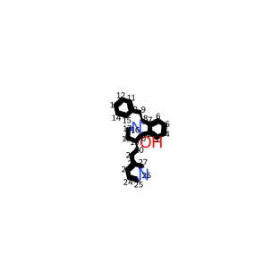 O[C@@]12c3ccccc3[C@H](Cc3ccccc3)N1CC[C@@H]2CCc1cccnc1